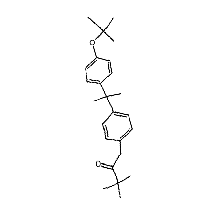 CC(C)(C)Oc1ccc(C(C)(C)c2ccc(CC(=O)C(C)(C)C)cc2)cc1